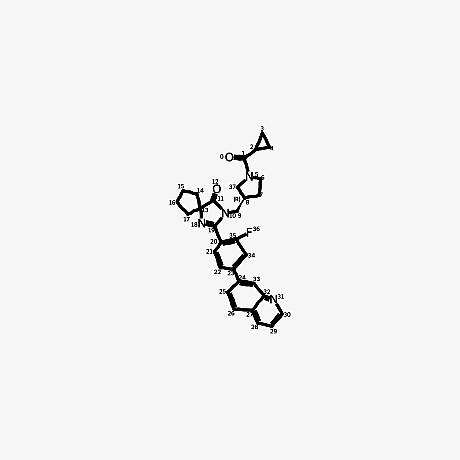 O=C(C1CC1)N1CC[C@@H](CN2C(=O)C3(CCCC3)N=C2c2ccc(-c3ccc4cccnc4c3)cc2F)C1